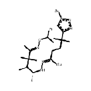 CC(=NO[C@H](C)C(C)C)C(C)(C)[C@H](C)[C@@H](C)NN=C(CCC(C)(C)c1cn(C(C)(C)C)nn1)C(C)(C)C